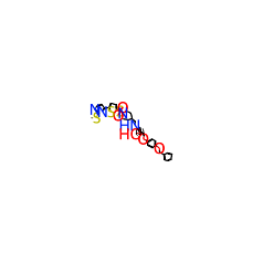 CSc1nccc(-c2ccc(S(=O)(=O)N3CCC(CNC[C@H](O)COc4ccc(OCc5ccccc5)cc4)CC3)s2)n1